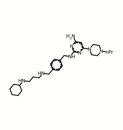 CCCN1CCN(c2cc(N)nc(NCc3ccc(CNCCCNC4CCCCC4)cc3)n2)CC1